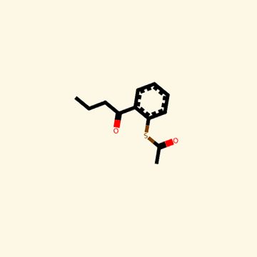 CCCC(=O)c1ccccc1SC(C)=O